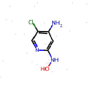 Nc1cc(NO)ncc1Cl